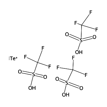 O=S(=O)(O)C(F)(F)F.O=S(=O)(O)C(F)(F)F.O=S(=O)(O)C(F)(F)F.[Te+]